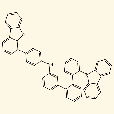 C1=CC(c2ccc(Nc3cccc(-c4ccccc4-c4ccccc4-n4c5ccccc5c5ccccc54)c3)cc2)C2Oc3ccccc3C2=C1